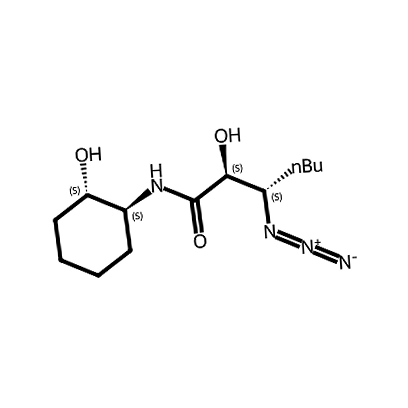 CCCC[C@H](N=[N+]=[N-])[C@H](O)C(=O)N[C@H]1CCCC[C@@H]1O